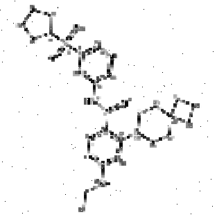 CCNc1ccc(C(=O)Nc2cccc(S(=O)(=O)C3CCCC3)c2)c(N2CCC3(CCC3)CC2)n1